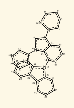 c1ccc(-c2cn(-c3cccnc3)c3c(-n4c5ccccc5c5ccccc54)nccc23)nc1